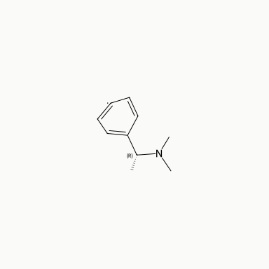 C[C@H](c1cc[c]cc1)N(C)C